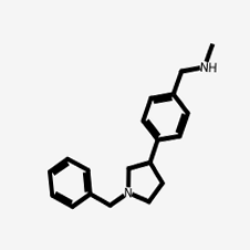 CNCc1ccc(C2CCN(Cc3ccccc3)C2)cc1